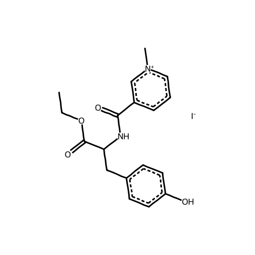 CCOC(=O)C(Cc1ccc(O)cc1)NC(=O)c1ccc[n+](C)c1.[I-]